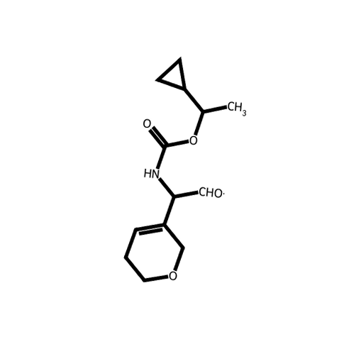 CC(OC(=O)NC([C]=O)C1=CCCOC1)C1CC1